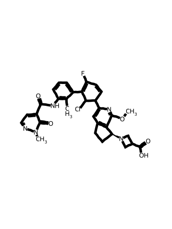 COc1nc(C2C=CC(F)=C(c3cccc(NC(=O)c4ccnn(C)c4=O)c3C)C2Cl)cc2c1[C@@H](N1CC(C(=O)O)C1)CC2